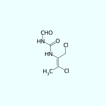 C/C(Cl)=C(/CCl)NC(=O)NC=O